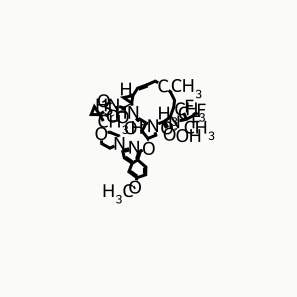 COc1ccc2c(O[C@@H]3C[C@H]4C(=O)N[C@]5(C(=O)NS(=O)(=O)C6(C)CC6)C[C@H]5C=CCC[C@@H](C)C[C@@H](C)[C@H](N(C(=O)O)C(C)(C)C(F)(F)F)C(=O)N4C3)nc(N3CCOCC3)cc2c1